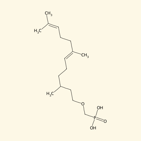 CC(C)=CCCC(C)=CCCC(C)CCOCP(=O)(O)O